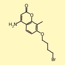 Cc1c(OCCCCBr)ccc2c(N)cc(=O)oc12